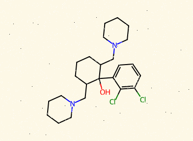 OC1(c2cccc(Cl)c2Cl)C(CN2CCCCC2)CCCC1CN1CCCCC1